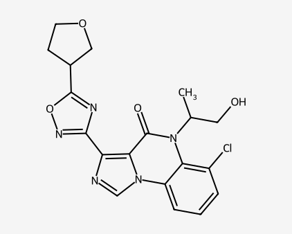 CC(CO)n1c(=O)c2c(-c3noc(C4CCOC4)n3)ncn2c2cccc(Cl)c21